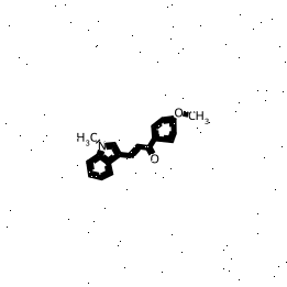 COc1ccc(C(=O)/C=C/c2cn(C)c3ccccc23)cc1